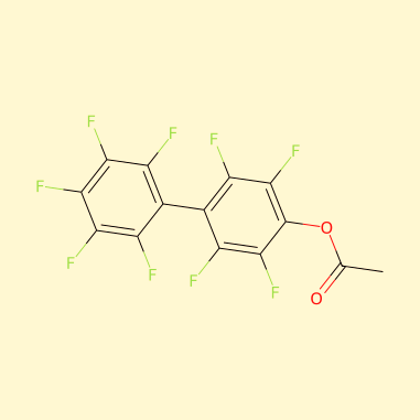 CC(=O)Oc1c(F)c(F)c(-c2c(F)c(F)c(F)c(F)c2F)c(F)c1F